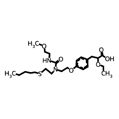 CCCCCSCCN(CCOc1ccc(CC(OCC)C(=O)O)cc1)C(=O)NCCOC